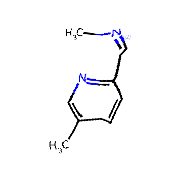 C/N=C\c1ccc(C)cn1